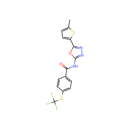 Cc1ccc(-c2nnc(NC(=O)c3ccc(SC(F)(F)F)cc3)o2)s1